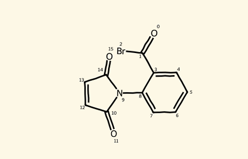 O=C(Br)c1ccccc1N1C(=O)C=CC1=O